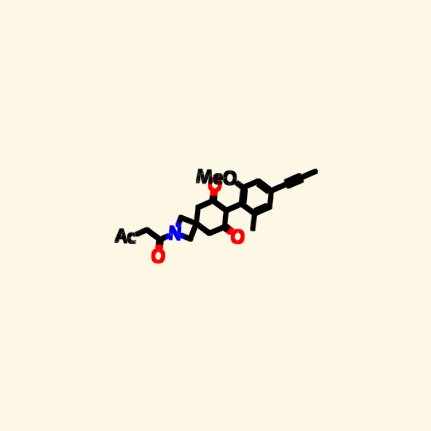 CC#Cc1cc(C)c(C2C(=O)CC3(CC2=O)CN(C(=O)CC(C)=O)C3)c(OC)c1